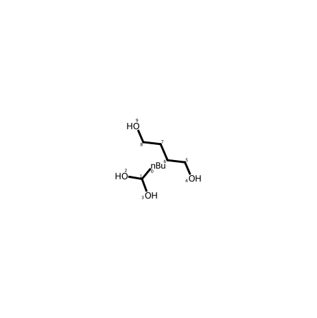 CCCCC(O)O.OCCCCO